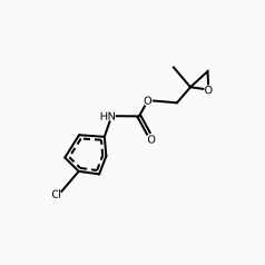 CC1(COC(=O)Nc2ccc(Cl)cc2)CO1